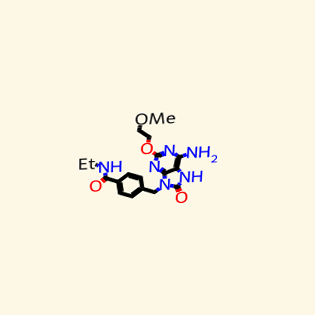 [CH2]CNC(=O)c1ccc(Cn2c(=O)[nH]c3c(N)nc(OCCOC)nc32)cc1